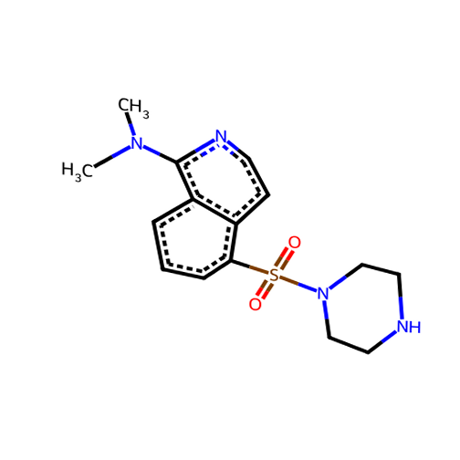 CN(C)c1nccc2c(S(=O)(=O)N3CCNCC3)cccc12